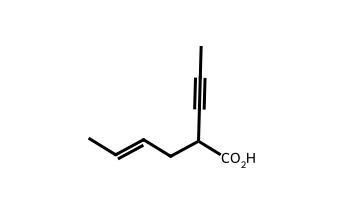 CC#CC(CC=CC)C(=O)O